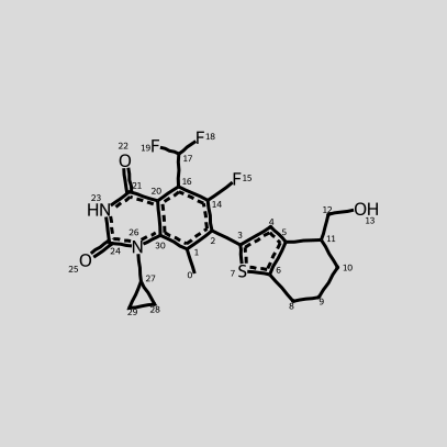 Cc1c(-c2cc3c(s2)CCCC3CO)c(F)c(C(F)F)c2c(=O)[nH]c(=O)n(C3CC3)c12